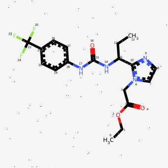 CCOC(=O)Cn1ccnc1C(CC)NC(=O)Nc1ccc(C(F)(F)F)cc1